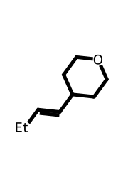 CCC=CC1CCOCC1